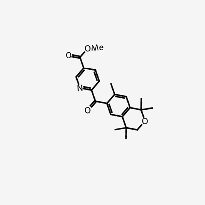 COC(=O)c1ccc(C(=O)c2cc3c(cc2C)C(C)(C)OCC3(C)C)nc1